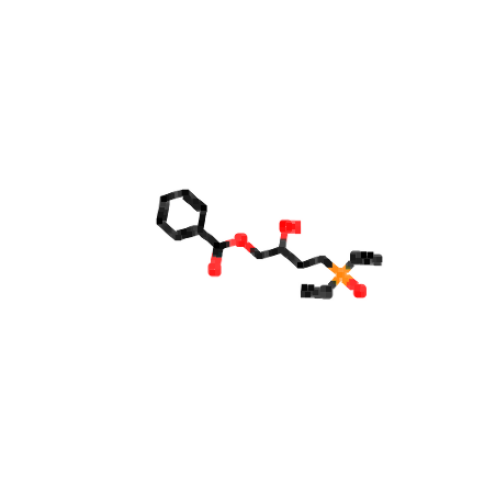 COP(=O)(CCC(O)COC(=O)c1ccccc1)OC